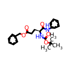 CC(C)(C)OC(=O)N[C@@H](CCC(=O)OCc1ccccc1)C(=O)Nc1ccccc1